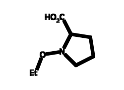 CCON1CCCC1C(=O)O